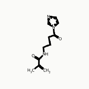 C=C(C)C(=O)NCCCC(=O)n1ccnc1